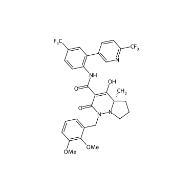 COc1cccc(CN2C(=O)C(C(=O)Nc3ccc(C(F)(F)F)cc3-c3ccc(C(F)(F)F)nc3)=C(O)[C@@]3(C)CCCN23)c1OC